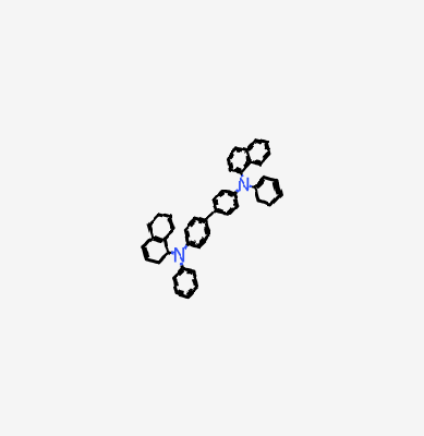 C1=CCCC(N(c2ccc(-c3ccc(N(c4ccccc4)C4CC=CC5=C4C=CCC5)cc3)cc2)c2cccc3ccccc23)=C1